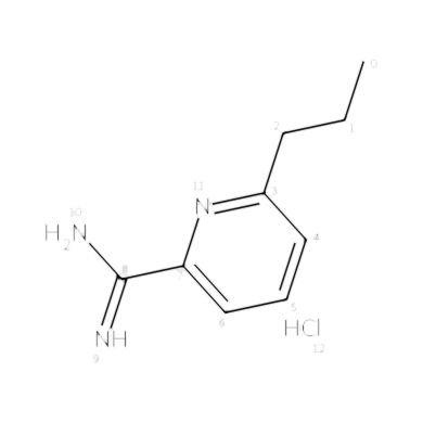 CCCc1cccc(C(=N)N)n1.Cl